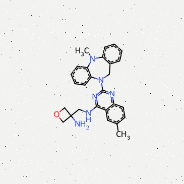 Cc1ccc2nc(N3Cc4ccccc4N(C)c4ccccc43)nc(NCC3(N)COC3)c2c1